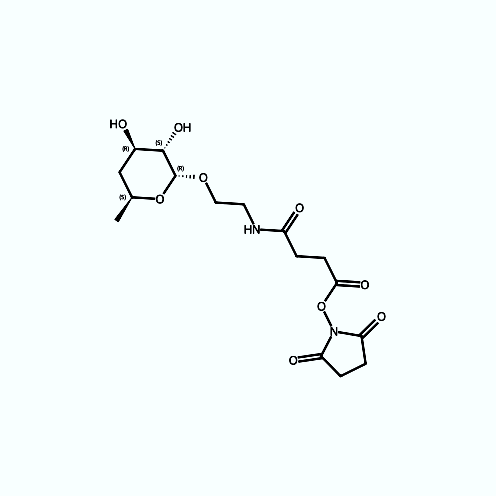 C[C@H]1C[C@@H](O)[C@H](O)[C@H](OCCNC(=O)CCC(=O)ON2C(=O)CCC2=O)O1